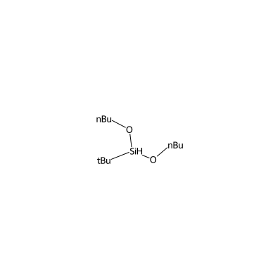 CCCCO[SiH](OCCCC)C(C)(C)C